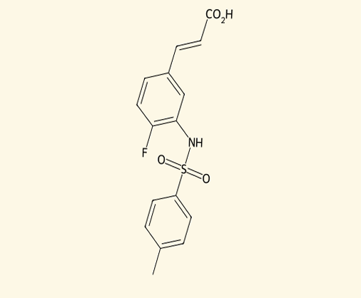 Cc1ccc(S(=O)(=O)Nc2cc(C=CC(=O)O)ccc2F)cc1